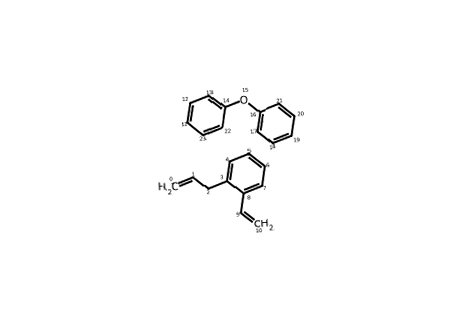 C=CCc1ccccc1C=C.c1ccc(Oc2ccccc2)cc1